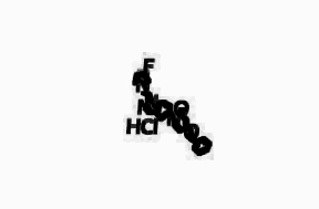 Cl.O=c1cc(OCc2ccccc2)ccn1-c1ccc2c(cnn2CCN2CC[C@H](F)C2)c1